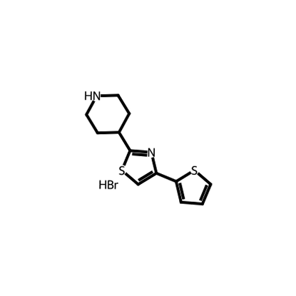 Br.c1csc(-c2csc(C3CCNCC3)n2)c1